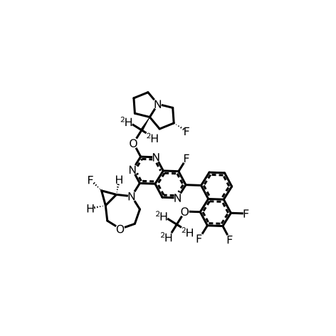 [2H]C([2H])([2H])Oc1c(F)c(F)c(F)c2cccc(-c3ncc4c(N5CCOC[C@H]6[C@H](F)[C@H]65)nc(OC([2H])([2H])[C@@]56CCCN5C[C@H](F)C6)nc4c3F)c12